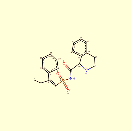 CCC(=CS(=O)(=O)NC(=O)C1NCCc2ccccc21)c1ccccc1